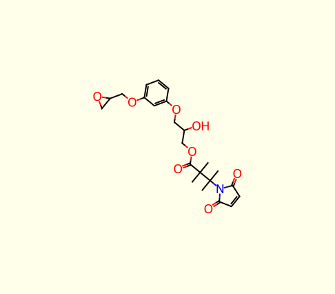 CC(C)(C(=O)OCC(O)COc1cccc(OCC2CO2)c1)C(C)(C)N1C(=O)C=CC1=O